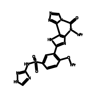 CCCOc1ccc(S(=O)(=O)Nc2nc[nH]n2)cc1-c1nc2c([nH]1)c1nncn1c(=O)n2CCC